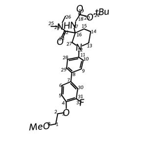 COCCOc1ccc(-c2ccc(N3CCCC(NC(=O)OC(C)(C)C)(C(=O)N(C)C)C3)cc2)cc1F